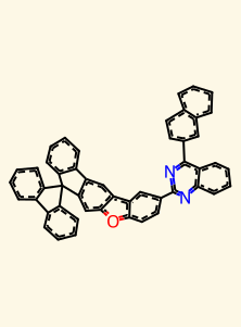 c1ccc2c(c1)-c1ccccc1C21c2ccccc2-c2cc3c(cc21)oc1ccc(-c2nc(-c4ccc5ccccc5c4)c4ccccc4n2)cc13